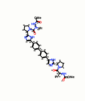 COC(=O)N[C@H](C(=O)N1CCC[C@H]1c1ncc(-c2ccc(-c3ccc(-c4cnc(C5CCCN5C(=O)N(NC(=O)OC)C(C)C)[nH]4)cc3)cc2)[nH]1)C(C)C